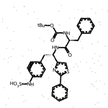 CC(C)(C)OC(=O)N[C@@H](Cc1ccccc1)C(=O)N[C@@H](Cc1c#cc(NS(=O)(=O)O)cc1)c1csc(-c2ccccc2)n1